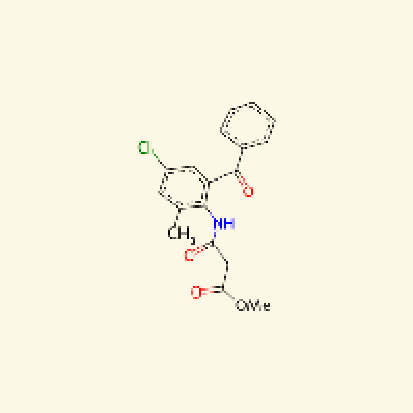 COC(=O)CC(=O)Nc1c(C)cc(Cl)cc1C(=O)c1ccccc1